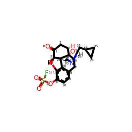 O=C1CC[C@@]2(O)[C@H]3Cc4ccc(OS(=O)(=O)F)c5c4[C@@]2(CCN3CC2CC2)[C@H]1O5